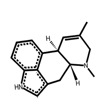 CC1=C[C@@H]2c3cccc4[nH][c]c(c34)C[C@H]2N(C)C1